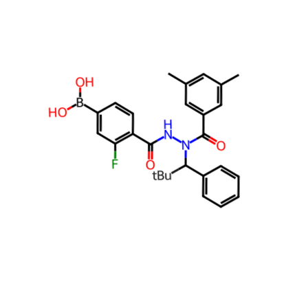 Cc1cc(C)cc(C(=O)N(NC(=O)c2ccc(B(O)O)cc2F)C(c2ccccc2)C(C)(C)C)c1